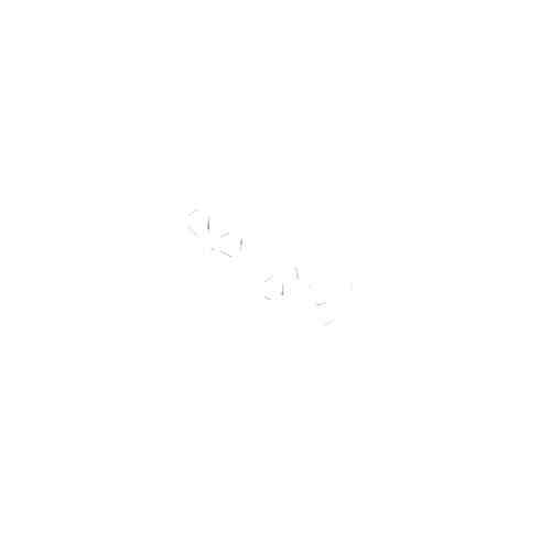 CSc1cc(F)c(F)cc1-c1ccc(OCc2cccc(C(=O)N(CCCN(C)C)CC(=O)OC(=O)C(F)(F)F)c2)cc1